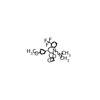 COc1ccc([C@H]2Cc3c(cccc3C(F)(F)F)N(CCN(C)C)C(=O)[C@H]2Cc2ccco2)cc1